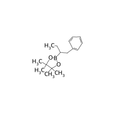 CCC(Cc1ccccc1)B1OC(C)(C)C(C)(C)O1